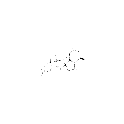 CCC(CC)(O[Si](C)(C)C)C(C)(C)OC1(CC)CCC2C(=O)CCCC21C